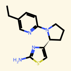 CCc1ccc(N2CCC[C@@H]2c2csc(N)n2)nc1